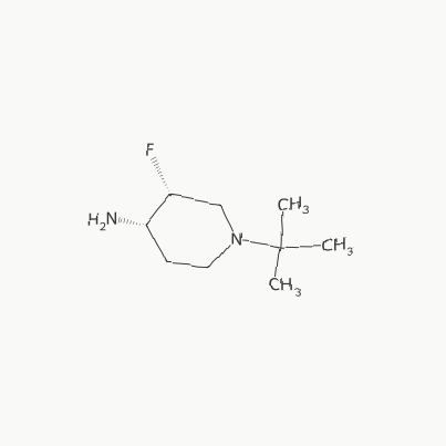 CC(C)(C)N1CC[C@H](N)[C@H](F)C1